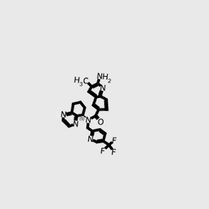 Cc1cc2cc(C(=O)N(Cc3ccc(C(F)(F)F)cn3)[C@H]3CCCc4nccnc43)ccc2nc1N